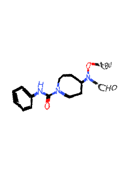 CC(C)(C)ON(C=O)C1CCN(C(=O)Nc2ccccc2)CC1